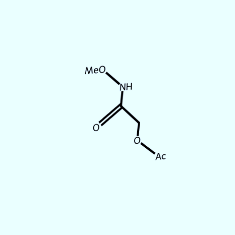 CONC(=O)COC(C)=O